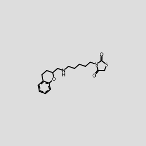 O=C1CSC(=O)N1CCCCCNCC1CCc2ccccc2O1